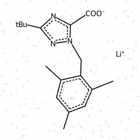 Cc1cc(C)c(Cn2nc(C(C)(C)C)nc2C(=O)[O-])c(C)c1.[Li+]